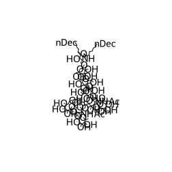 CCCCCCCCCCCCC/C=C/[C@@H](O)[C@H](CO[C@@H]1OC(CO)[C@@H](O[C@@H]2OC(CO)[C@H](O[C@@H]3OC(CO)[C@H](O)[C@H](O[C@@H]4OC(CO[C@@H]5OC(CO)[C@@H](O[C@@H]6OC(CO)[C@H](O)[C@H](O)C6O)[C@H](O[C@H]6OC(C)[C@@H](O)C(O)[C@@H]6O)C5NC(C)=O)[C@H](O)[C@H](O[C@@H]5OC(CO)[C@H](O)[C@H](O)C5O)C4NC(C)=O)C3O)[C@H](O)C2O)[C@H](O)C1O)NC(=O)CCCCCCCCCCCCCCC